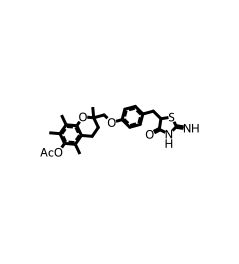 CC(=O)Oc1c(C)c(C)c2c(c1C)CCC(C)(COc1ccc(CC3SC(=N)NC3=O)cc1)O2